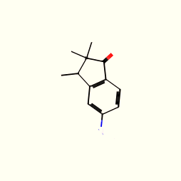 CC1c2cc(N)ccc2C(=O)C1(C)C